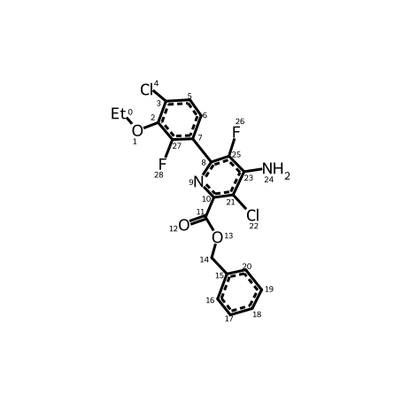 CCOc1c(Cl)ccc(-c2nc(C(=O)OCc3ccccc3)c(Cl)c(N)c2F)c1F